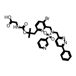 CC(C)(Cc1ccc(Br)c(CN(Cc2ccc(-c3ccccc3)nn2)S(=O)(=O)c2cccnc2)n1)OC(=O)NCC(=O)O